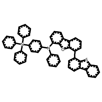 c1ccc(N(c2ccc([Si](c3ccccc3)(c3ccccc3)c3ccccc3)cc2)c2cccc3c2oc2c(-c4cccc5c4sc4ccccc45)cccc23)cc1